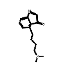 CN(C)CCCCc1cccc2c1C(=O)C=N2